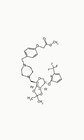 COC(=O)COc1ccc(CN2CCN(C[C@H]3OC[C@H](Oc4cccc(C(F)(F)F)n4)[C@H]4OC(C)(C)O[C@H]43)CC2)cc1